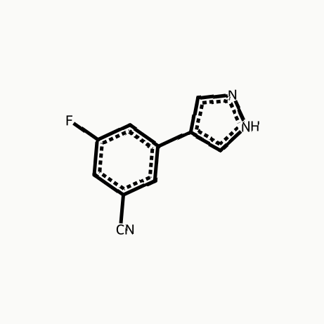 N#Cc1cc(F)cc(-c2cn[nH]c2)c1